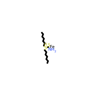 CCCCCCC[SH](CCCCCCC)C(N)=S.[Fe]